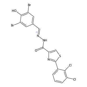 O=C(N/N=C/c1cc(Br)c(O)c(Br)c1)c1csc(-c2cccc(Cl)c2Cl)n1